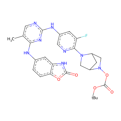 Cc1cnc(Nc2cnc(N3CC4CC3CN4OC(=O)OC(C)(C)C)c(F)c2)nc1Nc1ccc2oc(=O)[nH]c2c1